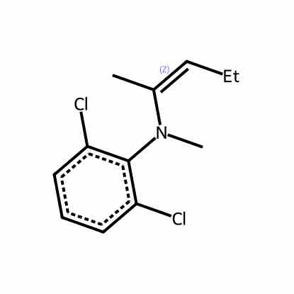 CC/C=C(/C)N(C)c1c(Cl)cccc1Cl